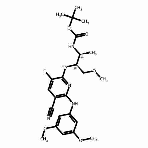 COC[C@@H](Nc1nc(Nc2cc(OC)cc(OC)c2)c(C#N)cc1F)[C@H](C)NC(=O)OC(C)(C)C